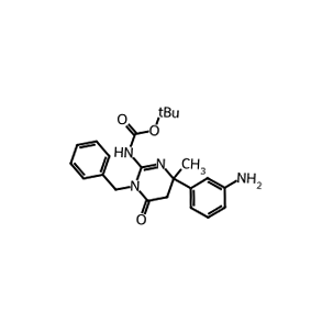 CC(C)(C)OC(=O)NC1=NC(C)(c2cccc(N)c2)CC(=O)N1Cc1ccccc1